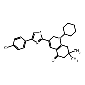 CC1(C)CC(=O)C2=C(C1)N(C1CCCCC1)CC(c1nc(-c3ccc(Cl)cc3)cs1)=C2